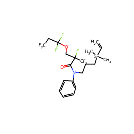 C=C[Si](C)(C)CCCN(C(=O)C(F)(COC(F)(F)CC(F)(F)F)C(F)(F)F)c1ccccc1